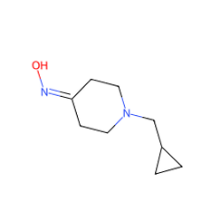 ON=C1CCN(CC2CC2)CC1